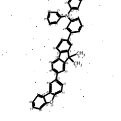 CC1(C)c2cc(-c3cccc(N(c4ccccc4)c4ccccc4)c3)ccc2-c2ccc(-c3ccc4oc5ccccc5c4c3)cc21